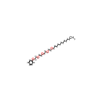 CCCCCCCCCCCCOCCOCCOCCOCCOc1ccccc1